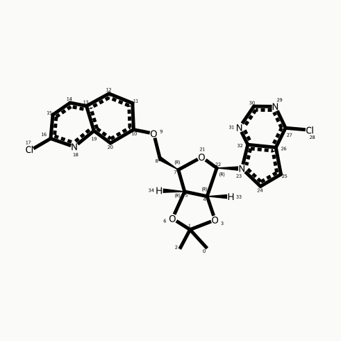 CC1(C)O[C@@H]2[C@H](O1)[C@@H](COc1ccc3ccc(Cl)nc3c1)O[C@H]2n1ccc2c(Cl)ncnc21